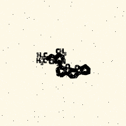 Cc1cnc(-c2cccc3c2oc2c3ccc3c4ccccc4oc32)cc1CC(C)(C)C